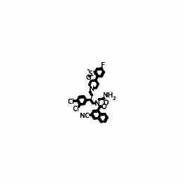 C[S@+]([O-])c1cc(F)ccc1C1CCN(CC[C@H](CN(CC(N)=O)C(=O)c2cc(C#N)cc3ccccc23)c2ccc(Cl)c(Cl)c2)CC1